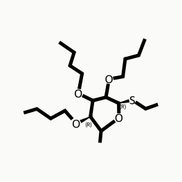 CCCCOC1C(OCCCC)[C@@H](SCC)OC(C)[C@H]1OCCCC